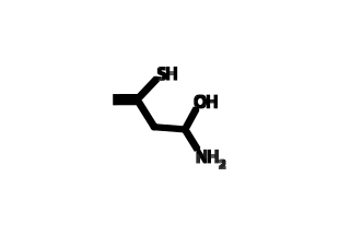 C=C(S)CC(N)O